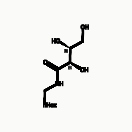 CCCCCCCNC(=O)[C@H](O)[C@H](O)CO